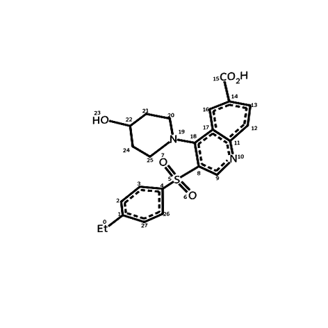 CCc1ccc(S(=O)(=O)c2cnc3ccc(C(=O)O)cc3c2N2CCC(O)CC2)cc1